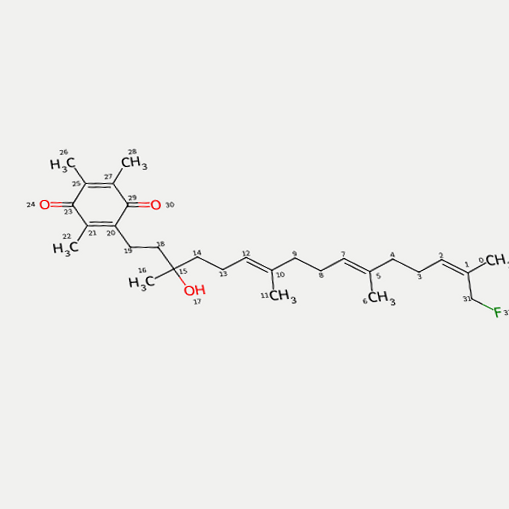 CC(=CCC/C(C)=C/CC/C(C)=C/CCC(C)(O)CCC1=C(C)C(=O)C(C)=C(C)C1=O)CF